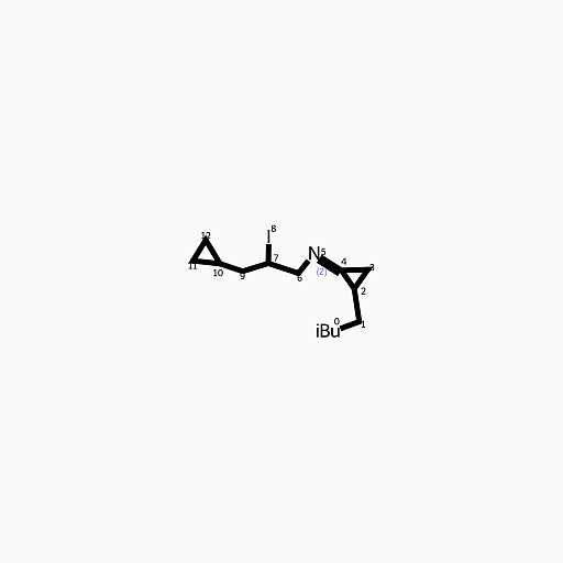 CCC(C)CC1C/C1=N/CC(I)CC1CC1